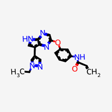 C=CC(=O)Nc1cccc(Oc2cnc3[nH]cc(-c4cnn(CC)c4)c3n2)c1